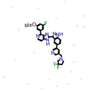 COc1cc(F)cc(-c2nccc3[nH]c(-c4n[nH]c5ccc(-c6cncc(CN7CCC(F)(F)C7)c6)cc45)nc23)c1